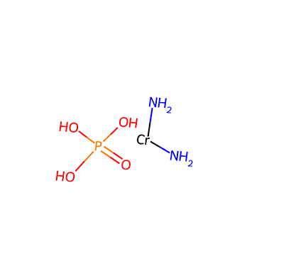 O=P(O)(O)O.[NH2][Cr][NH2]